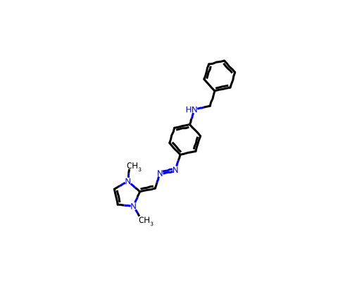 CN1C=CN(C)C1=C/N=N/c1ccc(NCc2ccccc2)cc1